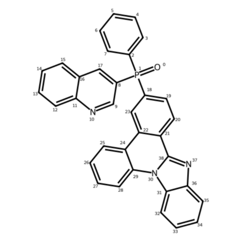 O=P(c1ccccc1)(c1cnc2ccccc2c1)c1ccc2c(c1)c1ccccc1n1c3ccccc3nc21